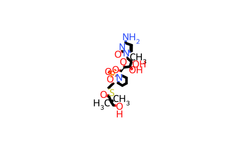 CC(C)(CO)C(=O)SCCOP(=O)(OC[C@H]1O[C@@H](n2ccc(N)nc2=O)[C@@](C)(O)C1O)N1CCCCC1